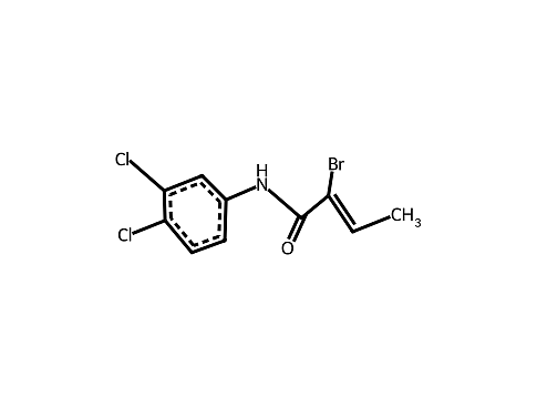 C/C=C(\Br)C(=O)Nc1ccc(Cl)c(Cl)c1